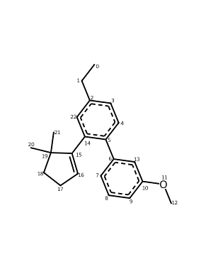 CCc1ccc(-c2cccc(OC)c2)c(C2=CCCC2(C)C)c1